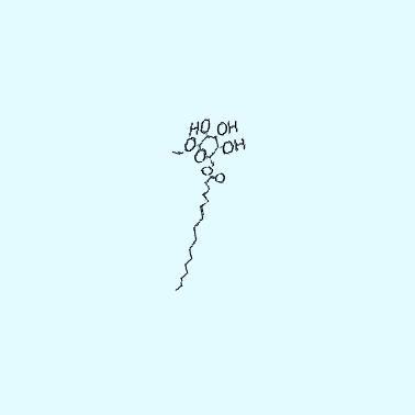 CCCCCCCCCCCCCCCC(=O)OC[C@H]1O[C@H](OCC)[C@H](O)[C@@H](O)[C@@H]1O